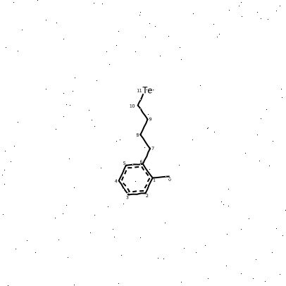 Cc1ccccc1CCCC[Te]